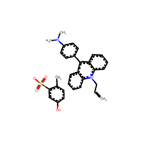 C=CC[n+]1c2ccccc2c(-c2ccc(N(C)C)cc2)c2ccccc21.Cc1ccc(O)cc1S(=O)(=O)[O-]